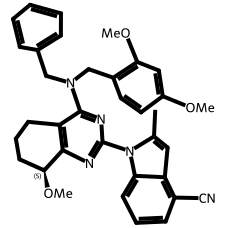 COc1ccc(CN(Cc2ccccc2)c2nc(-n3c(C)cc4c(C#N)cccc43)nc3c2CCC[C@@H]3OC)c(OC)c1